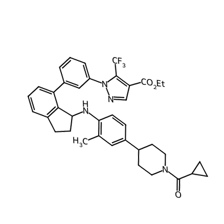 CCOC(=O)c1cnn(-c2cccc(-c3cccc4c3C(Nc3ccc(C5CCN(C(=O)C6CC6)CC5)cc3C)CC4)c2)c1C(F)(F)F